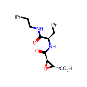 CC(C)CCNC(=O)[C@@H](CC(C)C)NC(=O)[C@@H]1O[C@H]1C(=O)O